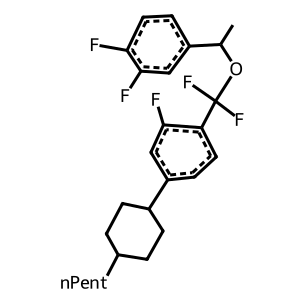 CCCCCC1CCC(c2ccc(C(F)(F)OC(C)c3ccc(F)c(F)c3)c(F)c2)CC1